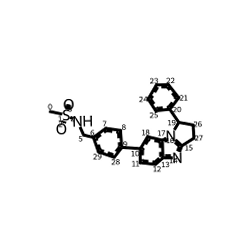 CS(=O)(=O)NCc1ccc(-c2ccc3nc4n(c3c2)C(c2ccccc2)CC4)cc1